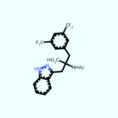 CC(=O)NC(Cc1cc(C(F)(F)F)cc(C(F)(F)F)c1)(Cc1n[nH]c2ccccc12)C(=O)O